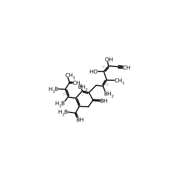 B=C(B)C1=C(/C(B)=C(/B)C(=C)C)C(B)=C(C/C(B)=C(C)\C(O)=C(\O)C#C)C(=B)C1